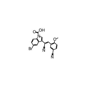 COc1ccc(C#N)cc1/C=C(\C#N)c1cn(C(=O)O)c2ccc(Br)cc12